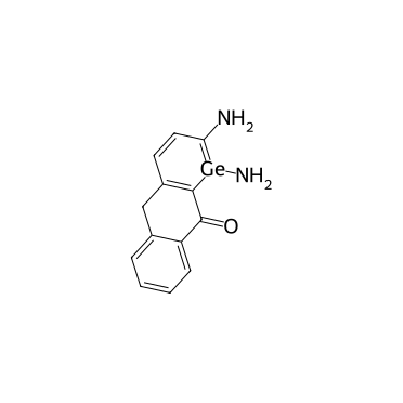 N[C]1=[Ge]([NH2])[C]2=C(C=C1)Cc1ccccc1C2=O